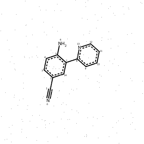 N#Cc1ccc(N)c(-c2ccccn2)c1